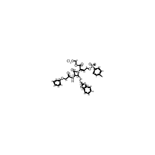 Cc1ccc(S(=O)(=O)OCC=C(C(=O)OCC(Cl)(Cl)Cl)N2C(=O)C(NC(=O)COc3ccccc3)C2SSc2nc3ccccc3s2)cc1